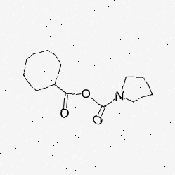 O=C(OC(=O)N1CCCC1)C1CCCCC1